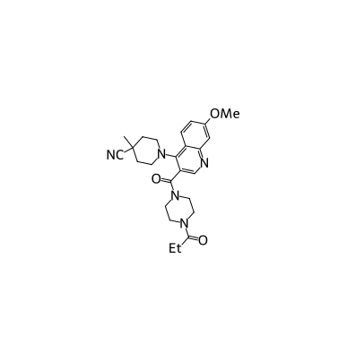 CCC(=O)N1CCN(C(=O)c2cnc3cc(OC)ccc3c2N2CCC(C)(C#N)CC2)CC1